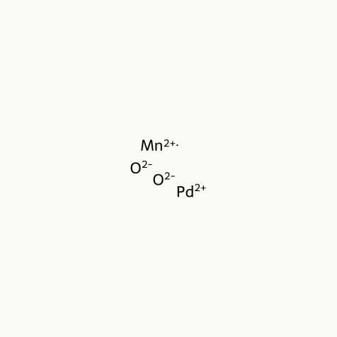 [Mn+2].[O-2].[O-2].[Pd+2]